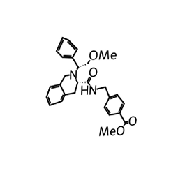 COC[C@@H](c1ccccc1)N1Cc2ccccc2C[C@H]1C(=O)NCc1ccc(C(=O)OC)cc1